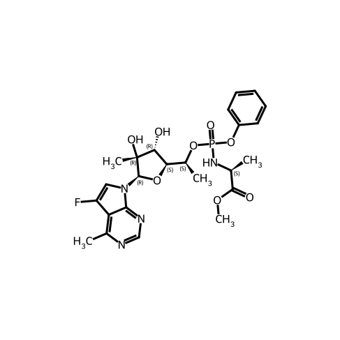 COC(=O)[C@H](C)NP(=O)(Oc1ccccc1)O[C@@H](C)[C@H]1O[C@@H](n2cc(F)c3c(C)ncnc32)[C@](C)(O)[C@@H]1O